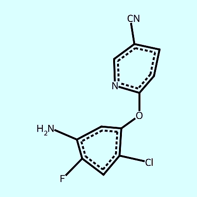 N#Cc1ccc(Oc2cc(N)c(F)cc2Cl)nc1